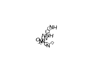 CC(C)n1c(=O)c2cnc(Nc3ccc4c(c3)CNCC4)nc2n1-c1ccnc(C2CCC2)c1